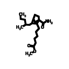 CCCC(C)CC1C2CCC(C(N)=O)(C2)C1CCCCCC(=O)OC